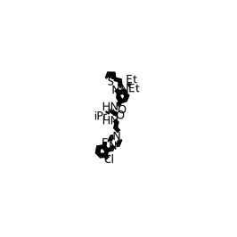 CCC(CC)n1c(Cc2cccs2)nc2cc(C(=O)N[C@@H](CC(C)C)C(=O)NCCCN3CCN(Cc4c(F)cccc4Cl)CC3)ccc21